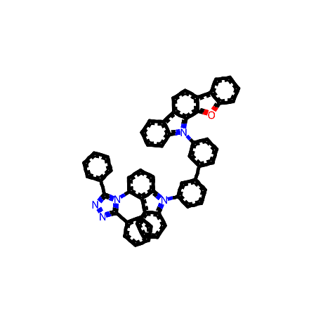 c1ccc(-c2nnc(-c3ccccc3)n2-c2cccc3c2c2ccccc2n3-c2cccc(-c3cccc(-n4c5ccccc5c5ccc6c7ccccc7oc6c54)c3)c2)cc1